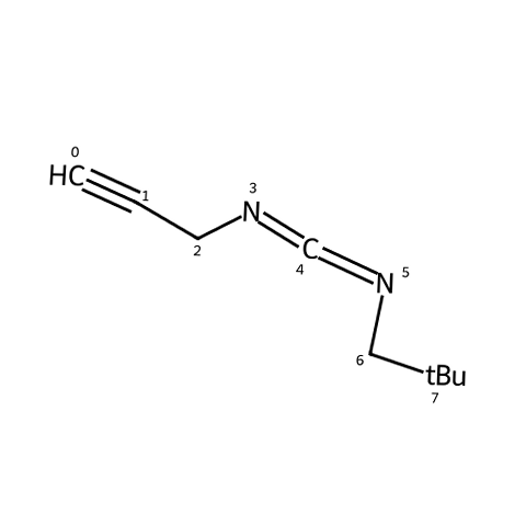 C#CCN=C=NCC(C)(C)C